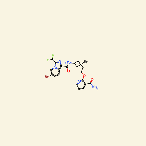 CC[C@]1(CCOc2ncccc2C(N)=O)C[C@H](NC(=O)c2nc(C(F)F)n3cc(Br)ccc23)C1